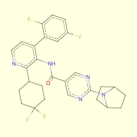 O=C(Nc1c(-c2cc(F)ccc2F)ccnc1C1CCC(F)(F)CC1)c1cnc(N2C3CCC2CC3)nc1